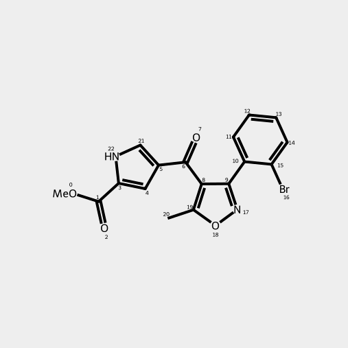 COC(=O)c1cc(C(=O)c2c(-c3ccccc3Br)noc2C)c[nH]1